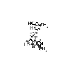 COCC(CNc1cc2c(c(-c3cnn(C)c3)n1)C(=O)NC2)NC(=O)O